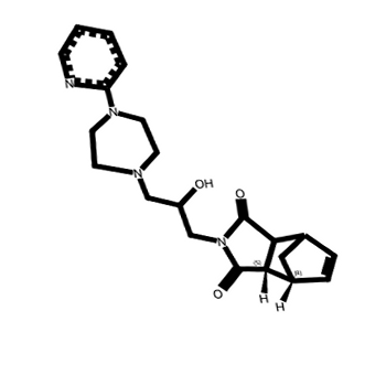 O=C1C2C3C=C[C@@H](C3)[C@@H]2C(=O)N1CC(O)CN1CCN(c2ccccn2)CC1